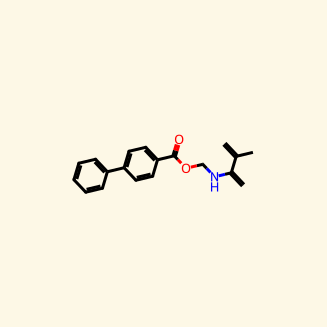 C=C(C)C(=C)NCOC(=O)c1ccc(-c2ccccc2)cc1